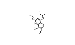 CCOc1cc(OC(C)CC)c2ccc(OC)c(Cl)c2n1